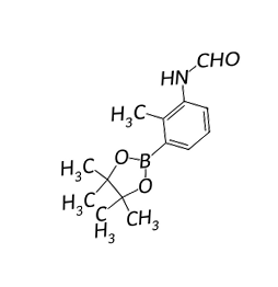 Cc1c(NC=O)cccc1B1OC(C)(C)C(C)(C)O1